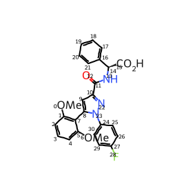 COc1cccc(OC)c1-c1cc(C(=O)N[C@H](C(=O)O)c2ccccc2)nn1-c1ccc(F)cc1